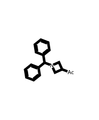 CC(=O)C1CN(C(c2ccccc2)c2ccccc2)C1